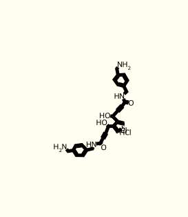 Cl.Cl.NCc1ccc(CNC(=O)C#CC(O)c2cscc2C(O)C#CC(=O)NCc2ccc(CN)cc2)cc1